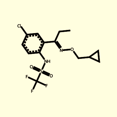 CC/C(=N\OCC1CC1)c1cc(Cl)ccc1NS(=O)(=O)C(F)(F)F